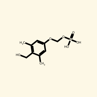 Cc1cc(OCOP(=O)(O)O)cc(C)c1CO